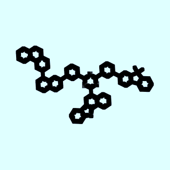 CC1(C)c2ccccc2-c2ccc(-c3cccc(-c4nc(-c5cccc(-c6ccc7cccc(-c8ccc9ccc%10ccccc%10c9c8)c7c6)c5)nc(-c5cc6c7ccccc7sc6c6ccccc56)n4)c3)cc21